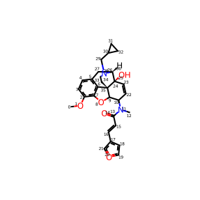 COc1ccc2c3c1OC1C(N(C)C(=O)/C=C/c4ccoc4)C=C[C@@]4(O)[C@@H](C2)N(CC2CC2)CC[C@]314